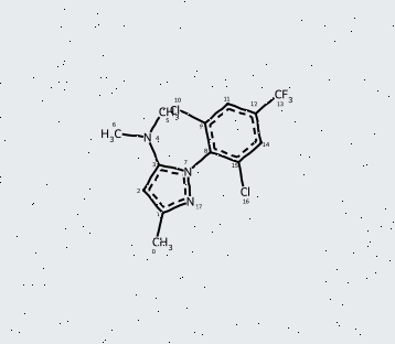 Cc1cc(N(C)C)n(-c2c(Cl)cc(C(F)(F)F)cc2Cl)n1